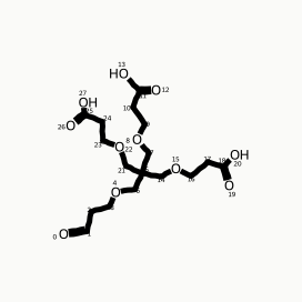 O=CCCOCC(COCCC(=O)O)(COCCC(=O)O)COCCC(=O)O